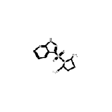 CC1CCC(C)N1S(=O)(=O)c1n[nH]c2ncccc12